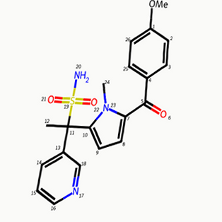 COc1ccc(C(=O)c2ccc(C(C)(c3cccnc3)S(N)(=O)=O)n2C)cc1